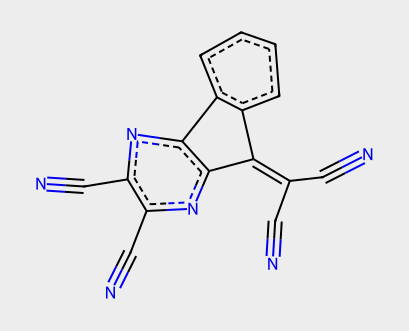 N#CC(C#N)=C1c2ccccc2-c2nc(C#N)c(C#N)nc21